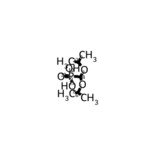 CC(C)OC(OC(C)C)P(=O)(O)O